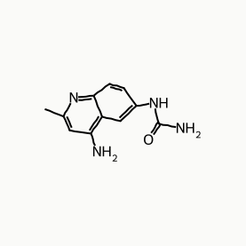 Cc1cc(N)c2cc(NC(N)=O)ccc2n1